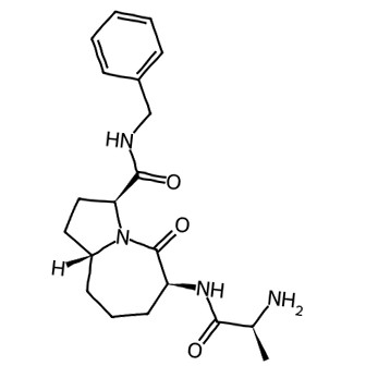 C[C@H](N)C(=O)N[C@H]1CCC[C@@H]2CC[C@@H](C(=O)NCc3ccccc3)N2C1=O